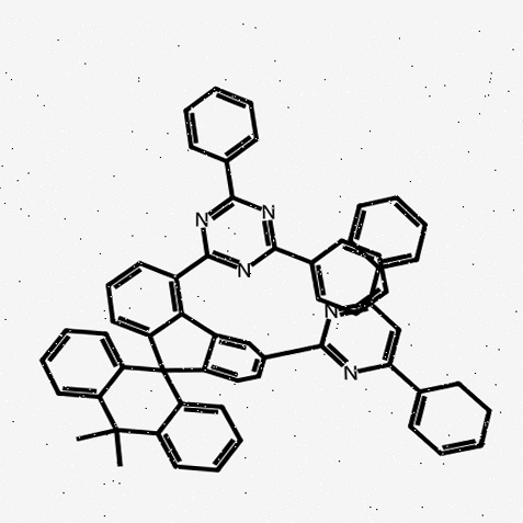 CC1(C)c2ccccc2C2(c3ccc(-c4nc(C5=CC=CCC5)cc(-c5ccccc5)n4)cc3-c3c(-c4nc(-c5ccccc5)nc(-c5ccccc5)n4)cccc32)c2ccccc21